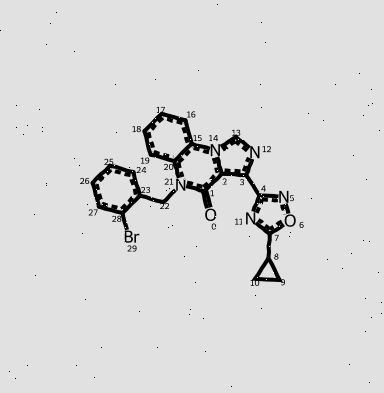 O=c1c2c(-c3noc(C4CC4)n3)ncn2c2ccccc2n1Cc1ccccc1Br